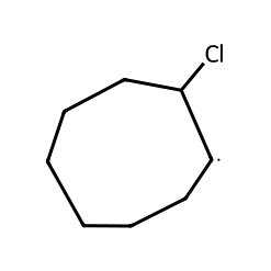 ClC1[CH]CCCCCC1